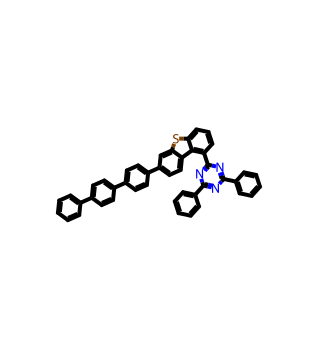 c1ccc(-c2ccc(-c3ccc(-c4ccc5c(c4)sc4cccc(-c6nc(-c7ccccc7)nc(-c7ccccc7)n6)c45)cc3)cc2)cc1